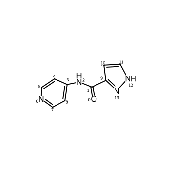 O=C(Nc1ccncc1)c1[c]c[nH]n1